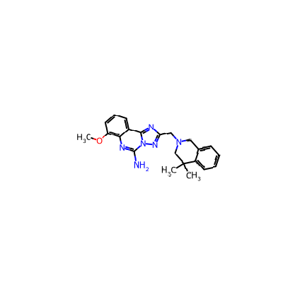 COc1cccc2c1nc(N)n1nc(CN3Cc4ccccc4C(C)(C)C3)nc21